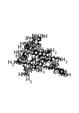 CC[C@H](C)[C@H](NC(=O)[C@@H]1C[C@@H](O)CN1C(=O)[C@@H](N)C(C)C)C(=O)N[C@H](C(=O)N[C@@H](Cc1ccc(O)cc1)C(=O)N[C@@H](CO)C(=O)N[C@@H](CC(N)=O)C(=O)N[C@@H](CCCNC(=N)N)C(=O)N[C@@H](CCN)C(=O)N[C@H](C(=O)N[C@H](CCN)C(=O)N[C@@H](CCCCN)C(=O)N[C@@H](CCN)C(=O)N[C@@H](CCCN)C(=O)N[C@@H](CS)C(=O)N[C@@H](Cc1ccc(O)cc1)C(=O)O)[C@@H](C)O)C(C)(C)S